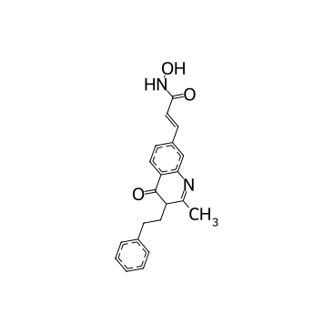 CC1=Nc2cc(/C=C/C(=O)NO)ccc2C(=O)C1CCc1ccccc1